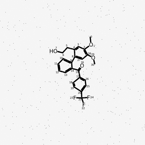 COc1cc(CCO)c(-c2ccccc2C(=O)c2ccc(C(F)(F)F)cc2)cc1OC